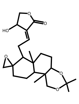 CC1(C)OCC2(C)C(CCC3(C)C(C/C=C4/C(=O)OCC4O)C4(CCC23)CO4)O1